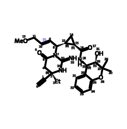 C#C[C@@]1(CC)CC(=O)N(C(/C=C/COC)[C@@H]2C[C@H]2C(=O)N[C@@H]2c3ccccc3OC(C)(C)[C@H]2O)C(=N)N1